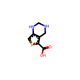 O=C(O)c1scc2c1CNCN2